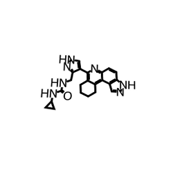 O=C(NCc1n[nH]cc1-c1nc2ccc3[nH]ncc3c2c2c1CCCC2)NC1CC1